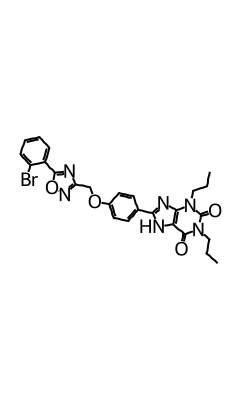 CCCn1c(=O)c2[nH]c(-c3ccc(OCc4noc(-c5ccccc5Br)n4)cc3)nc2n(CCC)c1=O